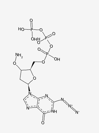 [N-]=[N+]=Nc1nc2c(ncn2[C@H]2CC(ON)[C@@H](COP(=O)(O)OP(=O)(O)OP(=O)(O)O)O2)c(=O)[nH]1